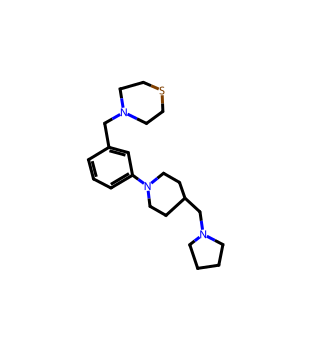 c1cc(CN2CCSCC2)cc(N2CCC(CN3CCCC3)CC2)c1